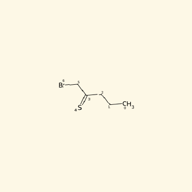 CCCC(=S)CBr